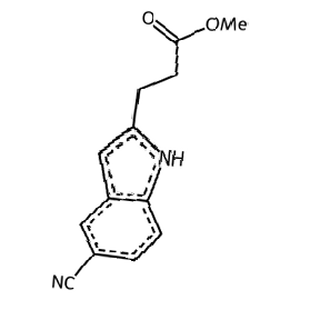 COC(=O)CCc1cc2cc(C#N)ccc2[nH]1